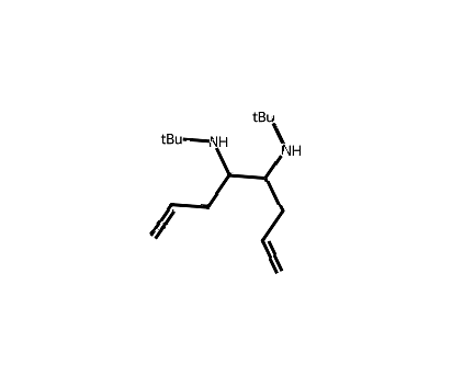 C=CCC(NC(C)(C)C)C(CC=C)NC(C)(C)C